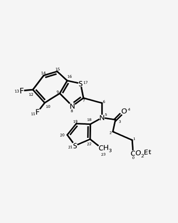 CCOC(=O)CCC(=O)N(Cc1nc2c(F)c(F)ccc2s1)c1ccsc1C